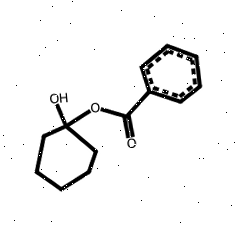 O=C(OC1(O)CCCCC1)c1ccccc1